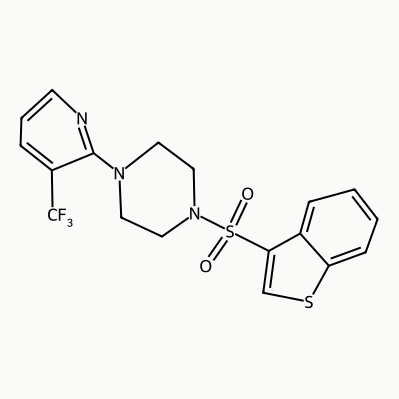 O=S(=O)(c1csc2ccccc12)N1CCN(c2ncccc2C(F)(F)F)CC1